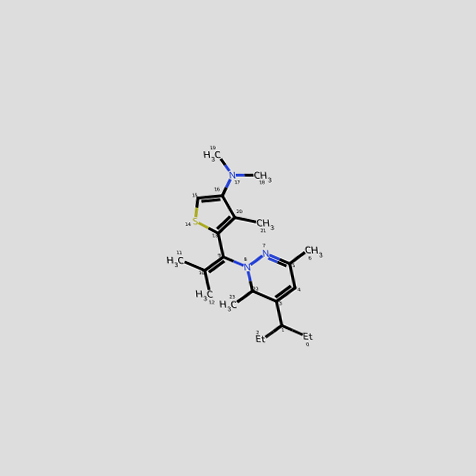 CCC(CC)C1=CC(C)=NN(C(=C(C)C)c2scc(N(C)C)c2C)C1C